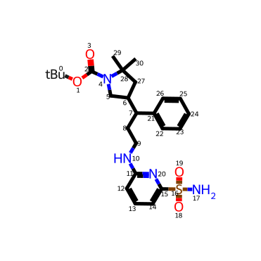 CC(C)(C)OC(=O)N1CC(C(CCNc2cccc(S(N)(=O)=O)n2)c2ccccc2)CC1(C)C